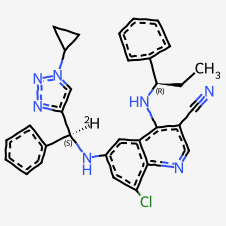 [2H][C@](Nc1cc(Cl)c2ncc(C#N)c(N[C@H](CC)c3ccccc3)c2c1)(c1ccccc1)c1cn(C2CC2)nn1